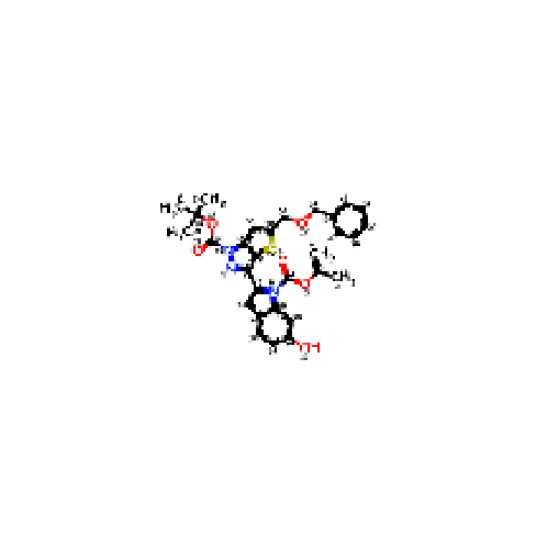 C=C(C)OC(=O)n1c(-c2nn(C(=O)OC(C)(C)C)c3cc(COCc4ccccc4)sc23)cc2ccc(O)cc21